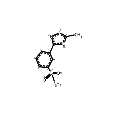 Cc1nnc(-c2cccc(S(N)(=O)=O)c2)o1